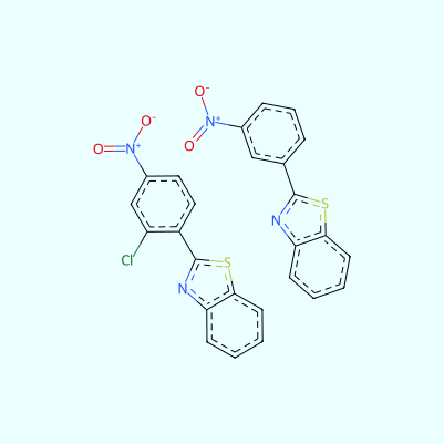 O=[N+]([O-])c1ccc(-c2nc3ccccc3s2)c(Cl)c1.O=[N+]([O-])c1cccc(-c2nc3ccccc3s2)c1